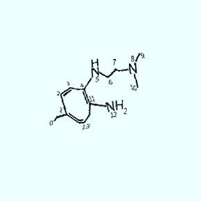 Cc1ccc(NCCN(C)C)c(N)c1